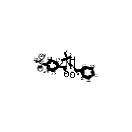 CC(C)(C)N(NC(=O)c1ccccc1)C(=O)c1ccc(S(C)(=O)=O)cc1